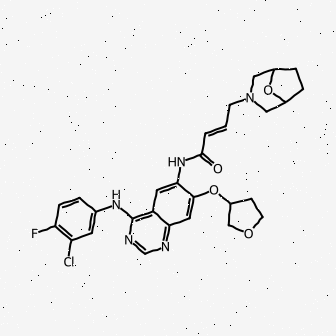 O=C(C=CCN1CC2CCC(C1)O2)Nc1cc2c(Nc3ccc(F)c(Cl)c3)ncnc2cc1OC1CCOC1